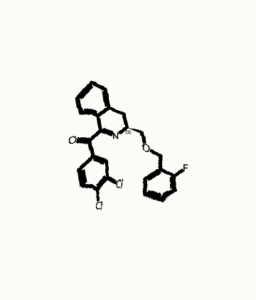 O=C(C1=N[C@H](COCc2ccccc2F)Cc2ccccc21)c1ccc(Cl)c(Cl)c1